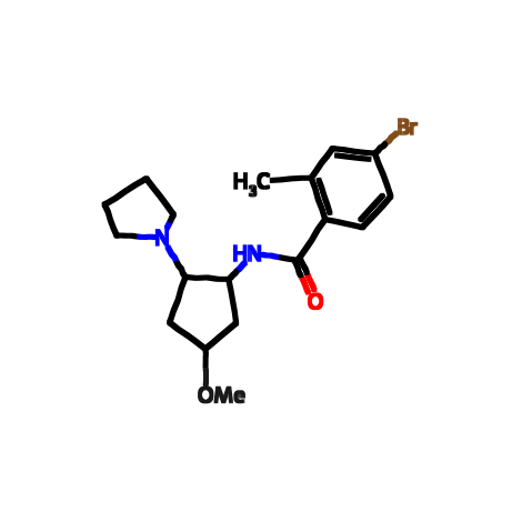 COC1CC(NC(=O)c2ccc(Br)cc2C)C(N2CCCC2)C1